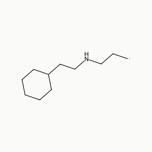 [CH2]CCNCCC1CCCCC1